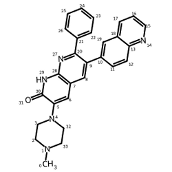 CN1CCN(c2cc3cc(-c4ccc5ncccc5c4)c(-c4ccccc4)nc3[nH]c2=O)CC1